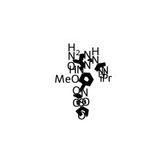 COc1c(Nc2nc(Nc3cnn(C(C)C)c3)ncc2C(N)=O)cccc1-c1nc(S(=O)(=O)C2CCOC2)co1